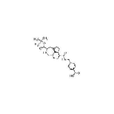 CC(C)(C)OC(=O)C1Cn2ccc3c(C(=O)NCc4ccc(C(=O)O)cc4)ccc(c32)CN1